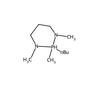 CCCC[PH]1(C)N(C)CCCN1C